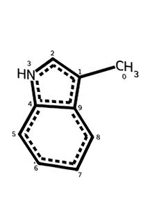 Cc1c[nH]c2c[c]ccc12